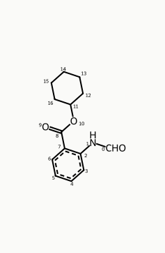 O=CNc1ccccc1C(=O)OC1CCCCC1